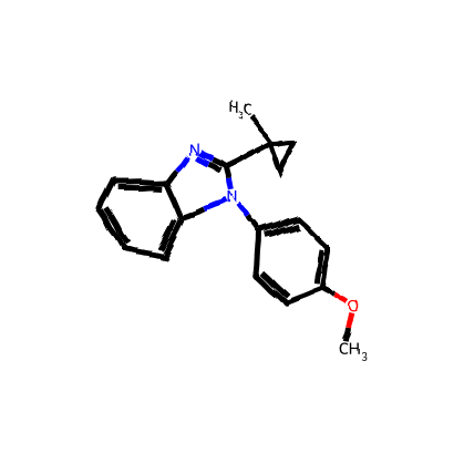 COc1ccc(-n2c(C3(C)CC3)nc3ccccc32)cc1